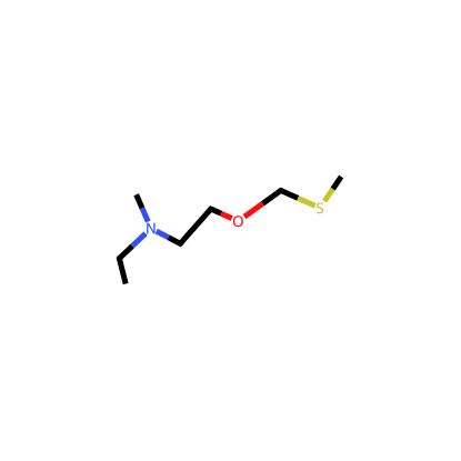 CCN(C)CCOCSC